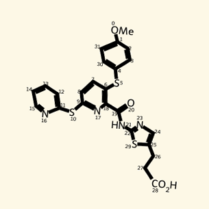 COc1ccc(Sc2ccc(Sc3ccccn3)nc2C(=O)Nc2ncc(CCC(=O)O)s2)cc1